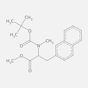 COC(=O)C(Cc1ccc2ccccc2c1)N(C)C(=O)OC(C)(C)C